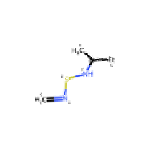 C=NSNC(C)CC